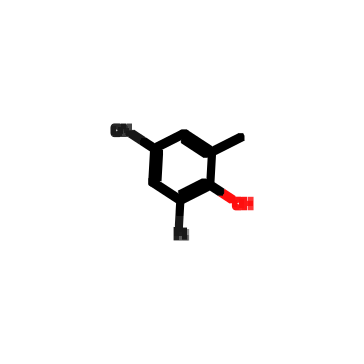 CCc1cc(N=O)cc(C)c1O